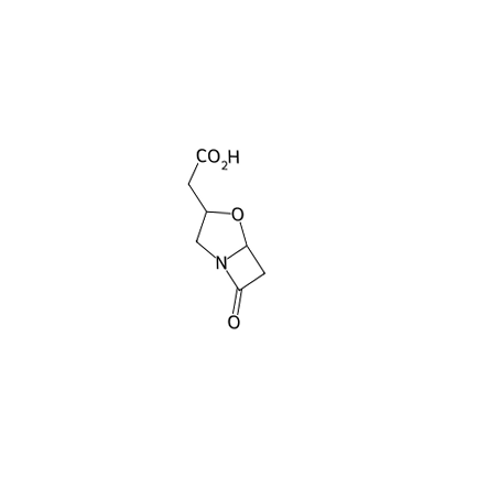 O=C(O)CC1CN2C(=O)CC2O1